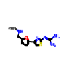 NC(N)=Nc1nc(-c2ccc(CNC=O)o2)cs1